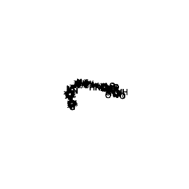 O=C1CCC(N2C(=O)c3ccc(NCCC[C@H]4C[C@H](n5cc(-c6cnc7ccc(C8CCOCC8)cc7n6)cn5)C4)cc3C2=O)C(=O)N1